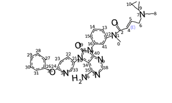 CN(C(=O)/C=C/CN(C)C1CC1)c1cccc(-n2c(=O)n(-c3ccc(Oc4ccccc4)nc3)c3c(N)ncnc32)c1